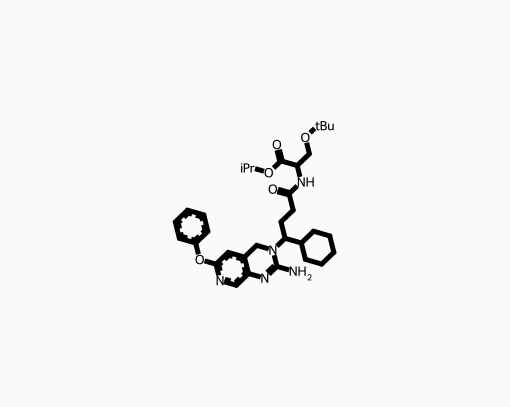 CC(C)OC(=O)C(COC(C)(C)C)NC(=O)CCC(C1CCCCC1)N1Cc2cc(Oc3ccccc3)ncc2N=C1N